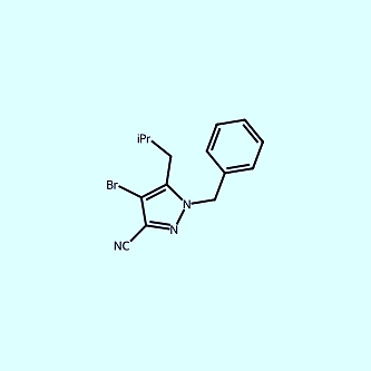 CC(C)Cc1c(Br)c(C#N)nn1Cc1ccccc1